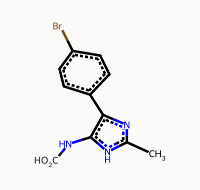 Cc1nc(-c2ccc(Br)cc2)c(NC(=O)O)[nH]1